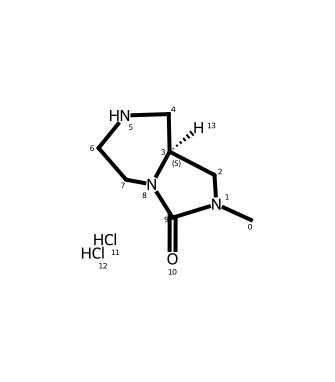 CN1C[C@@H]2CNCCN2C1=O.Cl.Cl